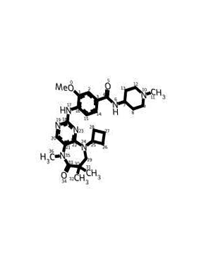 COc1cc(C(=O)NC2CCN(C)CC2)ccc1Nc1ncc2c(n1)N(C1CCC1)CC(C)(C)C(=O)N2C